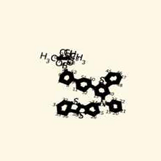 CC1(C)OB(c2cccc(-c3ccc(-c4cc(N(c5ccccc5)c5ccc6c(c5)C5Sc7ccccc7C5S6)cc5c4sc4ccccc45)cc3)c2)OC1(C)C